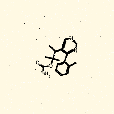 Cc1ccccc1-c1ncncc1C(C)C(C)(C)OC(N)=O